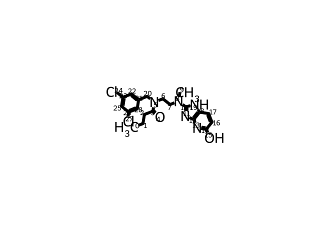 CCCC(=O)N(CCN(C)c1nc2nc(O)ccc2[nH]1)Cc1cc(Cl)cc(Cl)c1